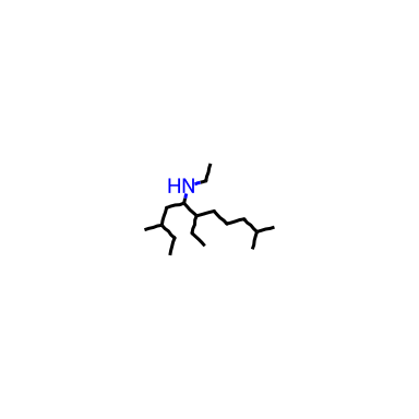 CCNC(CC(C)CC)C(CC)CCCC(C)C